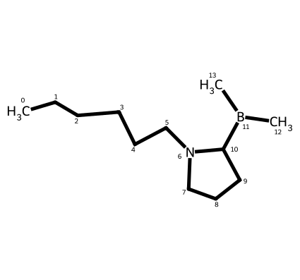 CCCCCCN1CCCC1B(C)C